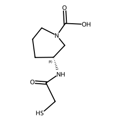 O=C(CS)N[C@@H]1CCCN(C(=O)O)C1